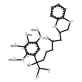 CCCCCOc1cc(C(C#N)(CCCC(N)CC2COc3ccccc3O2)C(CC)CC)c(OCCCCC)c(OC)c1OC